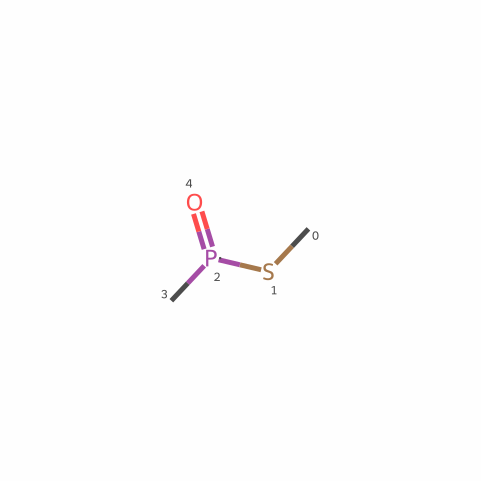 CS[P](C)=O